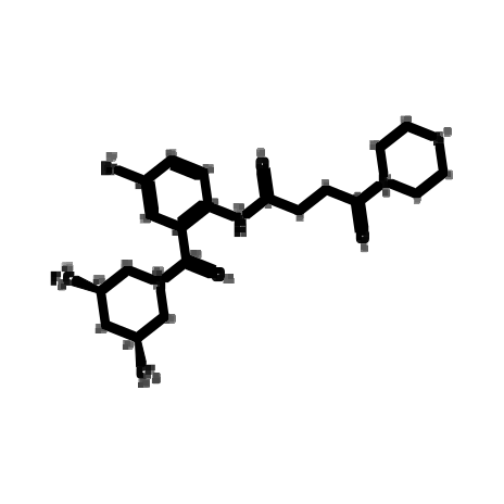 O=C(CCC(=O)N1CCSCC1)Nc1ccc(Br)cc1C(=O)N1C[C@H](C(F)(F)F)C[C@H](C(F)(F)F)C1